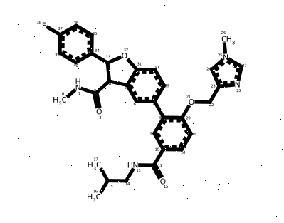 CNC(=O)C1c2cc(-c3cc(C(=O)NCC(C)C)ccc3OCc3cn(C)cn3)ccc2OC1c1ccc(F)cc1